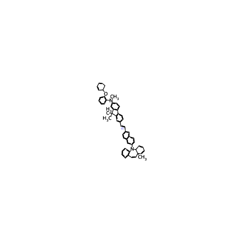 CN(c1ccc2c(c1)C(C)(C)c1cc(/C=C/c3ccc4cc(N5c6ccccc6C=CC6(C)C=CC=CC56)ccc4c3)ccc1-2)c1ccccc1OC1C=CC=CC1